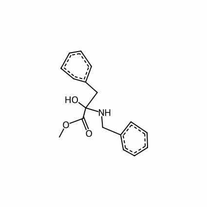 COC(=O)C(O)(Cc1ccccc1)NCc1ccccc1